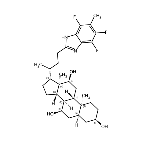 Cc1c(F)c(F)c2nc(CCC(C)[C@H]3CC[C@H]4[C@@H]5[C@H](O)C[C@@H]6C[C@H](O)CC[C@]6(C)[C@H]5C[C@H](O)[C@]34C)[nH]c2c1F